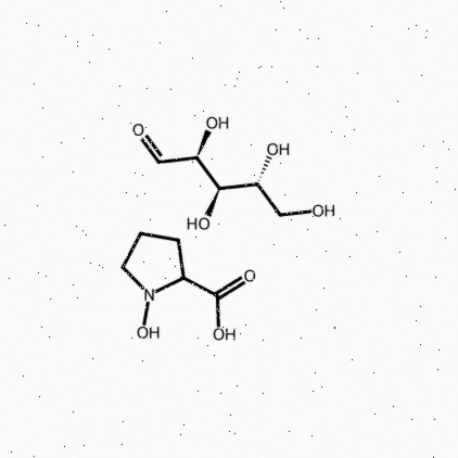 O=C(O)C1CCCN1O.O=C[C@@H](O)[C@H](O)[C@H](O)CO